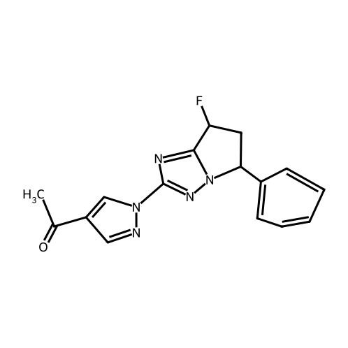 CC(=O)c1cnn(-c2nc3n(n2)C(c2ccccc2)CC3F)c1